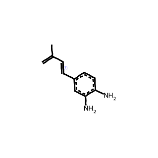 C=C(C)/C=C/c1ccc(N)c(N)c1